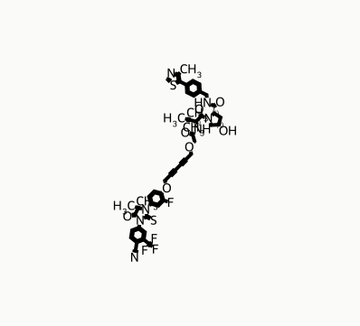 Cc1ncsc1-c1ccc(CNC(=O)[C@@H]2C[C@@H](O)CN2C(=O)[C@@H](NC(=O)COCC#CC#CCOc2ccc(N3C(=S)N(c4ccc(C#N)c(C(F)(F)F)c4)C(=O)C3(C)C)cc2F)C(C)(C)C)cc1